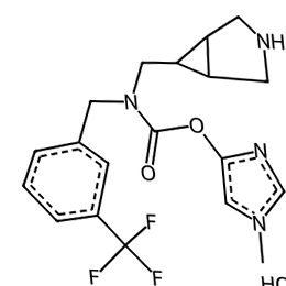 Cl.Cn1cnc(OC(=O)N(Cc2cccc(C(F)(F)F)c2)CC2C3CNCC32)c1